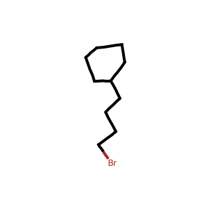 BrCCCCC1CCCCC1